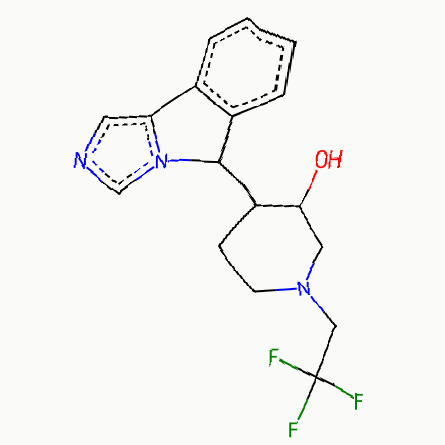 OC1CN(CC(F)(F)F)CCC1C1c2ccccc2-c2cncn21